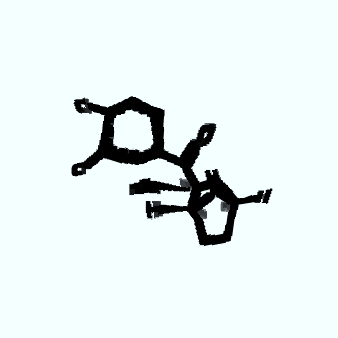 CCCC[C@]1(C(=O)c2ccc(Cl)c(Cl)c2)C[C@@H]2CC[C@H]1N2